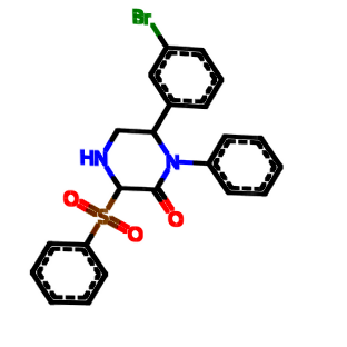 O=C1C(S(=O)(=O)c2ccccc2)NCC(c2cccc(Br)c2)N1c1ccccc1